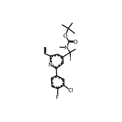 C=Cc1cc(C(C)(I)N(C)C(=O)OC(C)(C)C)cc(-c2ccc(F)c(Cl)c2)n1